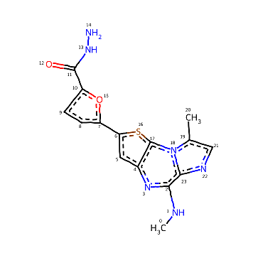 CNc1nc2cc(-c3ccc(C(=O)NN)o3)sc2n2c(C)cnc12